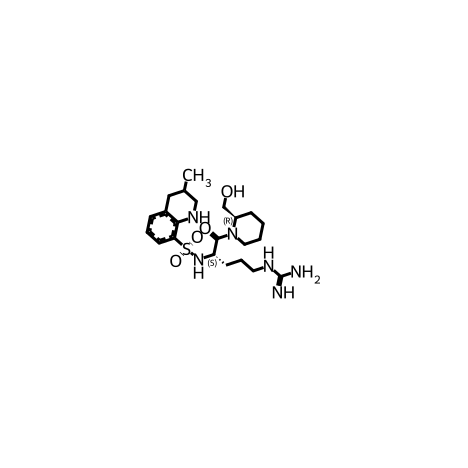 CC1CNc2c(cccc2S(=O)(=O)N[C@@H](CCCNC(=N)N)C(=O)N2CCCC[C@@H]2CO)C1